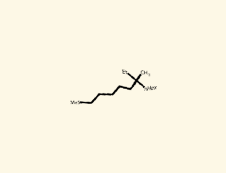 CCCCCCC(C)(CC)CCCCCSC